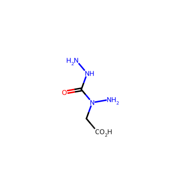 NNC(=O)N(N)CC(=O)O